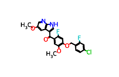 COc1cnc2[nH]cc(C(=O)c3cc(OC)c(OCc4ccc(Cl)cc4F)cc3F)c2c1